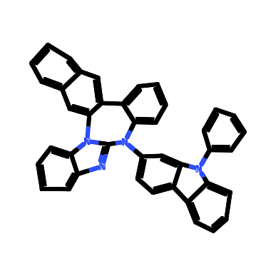 c1ccc(-n2c3ccccc3c3ccc(N4c5ccccc5-c5cc6ccccc6cc5-n5c4nc4ccccc45)cc32)cc1